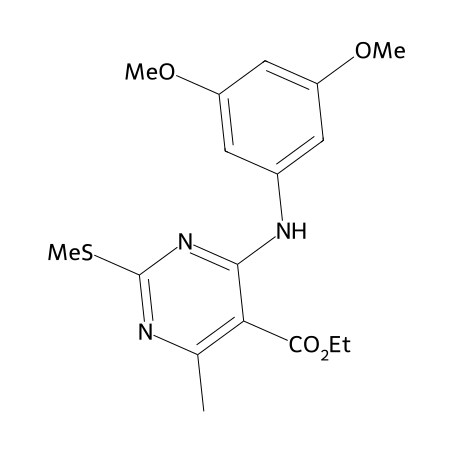 CCOC(=O)c1c(C)nc(SC)nc1Nc1cc(OC)cc(OC)c1